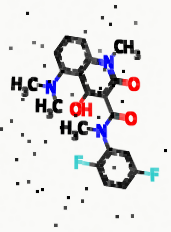 CN(C)c1cccc2c1c(O)c(C(=O)N(C)c1cc(F)ccc1F)c(=O)n2C